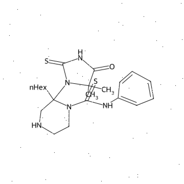 CCCCCCC1(N2C(=S)NC(=O)C2(C)C)CNCCN1C(=S)Nc1ccccc1